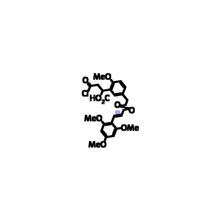 COc1cc(OC)c(/C=C/S(=O)(=O)Cc2ccc(OC)c(C(CC(=O)Cl)C(=O)O)c2)c(OC)c1